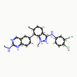 CNc1ncc2cc(-c3c(C)ccc4c(Nc5ccc(Cl)c(F)c5)nn(C)c34)ccc2n1